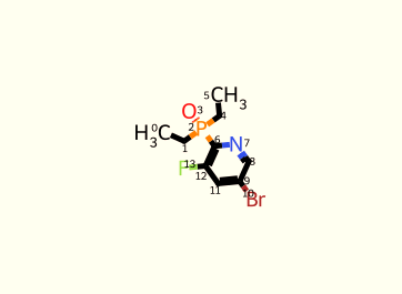 CCP(=O)(CC)c1ncc(Br)cc1F